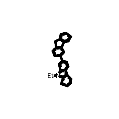 CCn1c2ccccc2c2ccc(-c3ccc4c(c3)-c3ccccc3C4)cc21